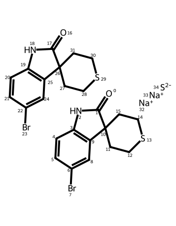 O=C1Nc2ccc(Br)cc2C12CCSCC2.O=C1Nc2ccc(Br)cc2C12CCSCC2.[Na+].[Na+].[S-2]